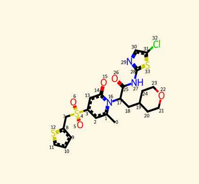 Cc1cc(S(=O)(=O)Cc2cccs2)cc(=O)n1C(CC1CCOCC1)C(=O)Nc1ncc(Cl)s1